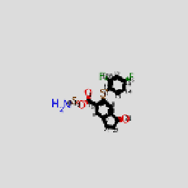 NSOC(=O)c1cc2c(cc1Sc1ccc(F)cc1F)C(=O)CC2